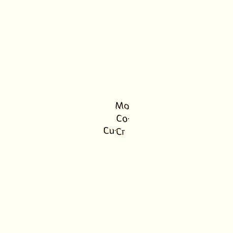 [Co].[Cr].[Cu].[Mo]